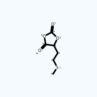 CSCCC1OC(=O)OC1=O